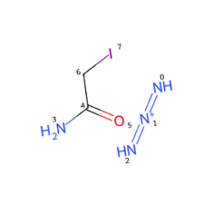 N=[N+]=N.NC(=O)CI